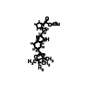 CC(C)(C)OC(=O)N1CCCC12SC2c1nc2ccc(B3OC(C)(C)C(C)(C)O3)cc2[nH]1